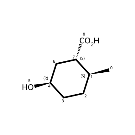 C[C@H]1CC[C@@H](O)C[C@@H]1C(=O)O